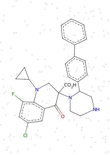 O=C(O)C1(N2CCNCC2c2ccc(-c3ccccc3)cc2)CN(C2CC2)c2c(F)cc(Cl)cc2C1=O